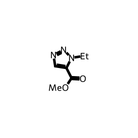 CCn1nncc1C(=O)OC